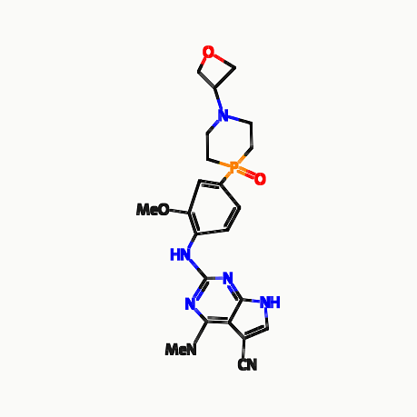 CNc1nc(Nc2ccc(P3(=O)CCN(C4COC4)CC3)cc2OC)nc2[nH]cc(C#N)c12